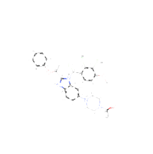 COc1ccc(C(F)n2c(C(C)Oc3ccccc3)nc3ccc(N4CCN(C(C)=O)CC4)cc32)c(F)c1F